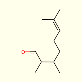 CC(C)=CCCC(C)C(C)C=O